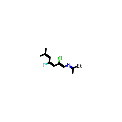 CC/C(C)=N/C=C(Cl)/C=C(/F)C=C(C)C